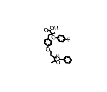 Cc1oc(-c2ccccc2)nc1CCOc1ccc(CC(C)(Oc2ccc(F)cc2)C(=O)O)cc1